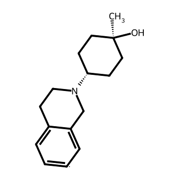 C[C@]1(O)CC[C@H](N2CCc3cc[c]cc3C2)CC1